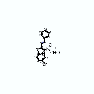 CN(C=O)c1c(/C=C/c2ccccc2)nc2ccc(Br)cn12